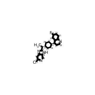 CC(c1nc2cc(Cl)ncc2[nH]1)[C@H]1CC[C@H](c2ccnc3ccc(F)cc32)CC1